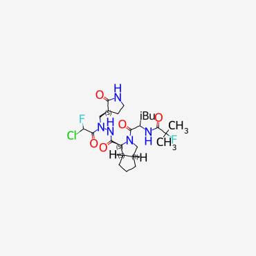 CCC(C)C(NC(=O)C(C)(C)F)C(=O)N1C[C@@H]2CCC[C@@H]2[C@H]1C(=O)NN(C[C@@H]1CCNC1=O)C(=O)C(F)Cl